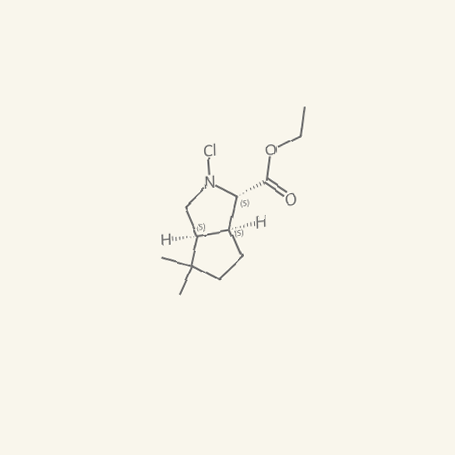 CCOC(=O)[C@@H]1[C@H]2CCC(C)(C)[C@H]2CN1Cl